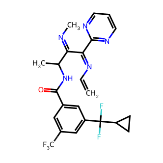 C=C/N=C(\C(=N/C)C(C)NC(=O)c1cc(C(F)(F)F)cc(C(F)(F)C2CC2)c1)c1ncccn1